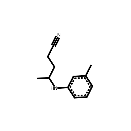 Cc1[c]ccc(NC(C)CCC#N)c1